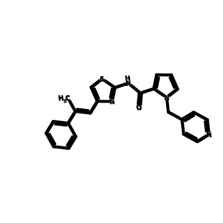 C/C(=C\c1csc(NC(=O)c2cccn2Cc2ccncc2)n1)c1ccccc1